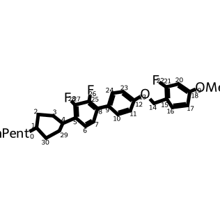 CCCCCC1CCC(c2ccc(-c3ccc(OCc4ccc(OC)cc4F)cc3)c(F)c2F)CC1